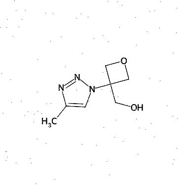 Cc1cn(C2(CO)COC2)nn1